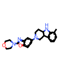 Cc1cccc2c1NC1CCN(c3ccc4oc(N5CCOCC5)nc4c3)CC21